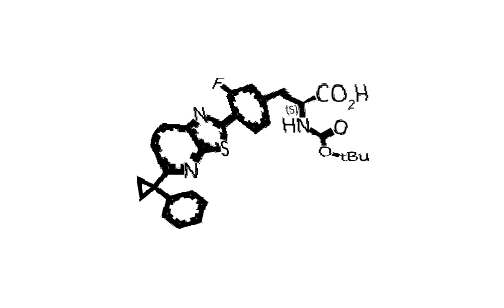 CC(C)(C)OC(=O)N[C@@H](Cc1ccc(-c2nc3ccc(C4(c5ccccc5)CC4)nc3s2)c(F)c1)C(=O)O